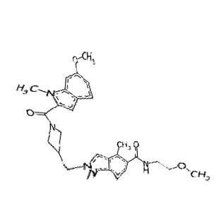 COCCNC(=O)c1ccc2nn(CC3CN(C(=O)c4cc5ccc(OC)cc5n4C)C3)cc2c1C